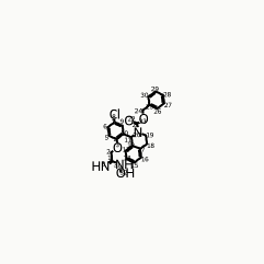 N=C(COc1ccc(Cl)cc1C1c2ccccc2CCN1C(=O)OCc1ccccc1)NO